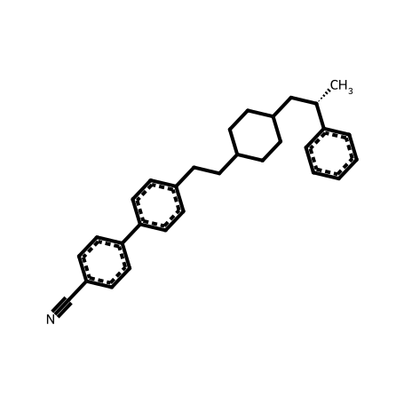 C[C@@H](CC1CCC(CCc2ccc(-c3ccc(C#N)cc3)cc2)CC1)c1ccccc1